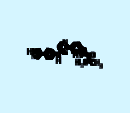 CN(C)C(=O)c1cc2ccc(-c3nccc(Nc4ccc(-c5cn[nH]c5)cc4)n3)cc2[nH]1